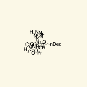 C#C[C@]1(CO[P@@](=O)(N[C@@H](C)C(=O)OC(C)C)Oc2ccccc2)O[C@@H](n2cnc3c(N)nc(F)nc32)CC1OC(=O)CCCCCCCCCCCCC